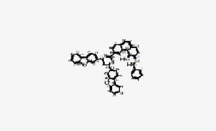 N=C1/C(=N\Nc2ccccc2)C=Cc2ccc3ccc(-c4nc(-c5ccc6c(c5)oc5ccccc56)cc(-c5ccc6c(c5)oc5ccccc56)n4)cc3c21